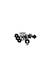 CN1CCC(N(c2cnn(C3CCC3)c2)S(=O)(=O)NC(=O)Nc2c3c(cc4c2CCC4)CCC3)CC1